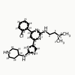 CN(C)CCNc1nc(-c2cnc(NC3CCNCC3)s2)cc(-c2ccccc2Cl)n1